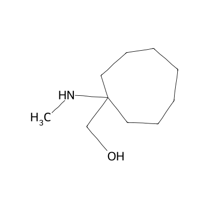 CNC1(CO)CCCCCCC1